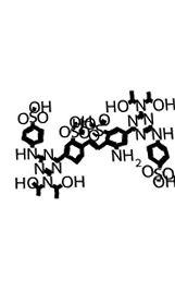 CC(O)N(c1nc(Nc2ccc(S(=O)(=O)O)cc2)nc(-c2ccc(C=Cc3c(N)cc(-c4nc(Nc5ccc(S(=O)(=O)O)cc5)nc(N(C(C)O)C(C)O)n4)cc3S(=O)(=O)O)c(S(=O)(=O)O)c2)n1)C(C)O